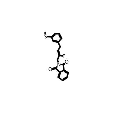 CSc1cccc(CC=C(F)CN2C(=O)c3ccccc3C2=O)c1